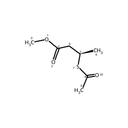 COC(=O)C[C@@H](C)SC(C)=O